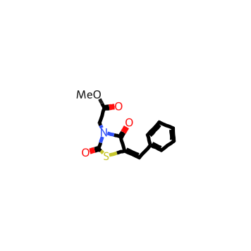 COC(=O)CN1C(=O)SC(=Cc2ccccc2)C1=O